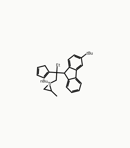 CCC[CH2][Ti]1([CH2]C(CC)(C2=CC=CC2)C2c3ccccc3-c3cc(C(C)(C)C)ccc32)[CH2][CH]1C